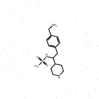 CS(=O)(=O)NC(Cc1ccc(CN)cc1)C1CCNCC1